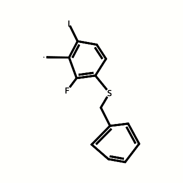 [CH2]c1c(I)ccc(SCc2ccccc2)c1F